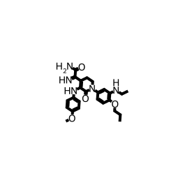 CCCOc1ccc(N2CCC(C(=N)C(N)=O)=C(Nc3ccc(OC)cc3)C2=O)cc1NCC